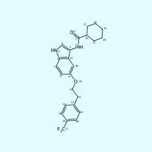 O=C(Nc1c[nH]c2ccc(OCCc3ccc(C(F)(F)F)cc3)cc12)C1CCCCC1